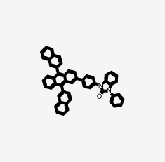 O=c1n(-c2ccccc2)c2ccccc2n1-c1ccc(-c2ccc3c(-c4ccc5ccccc5c4)c4ccccc4c(-c4ccc5ccccc5c4)c3c2)cc1